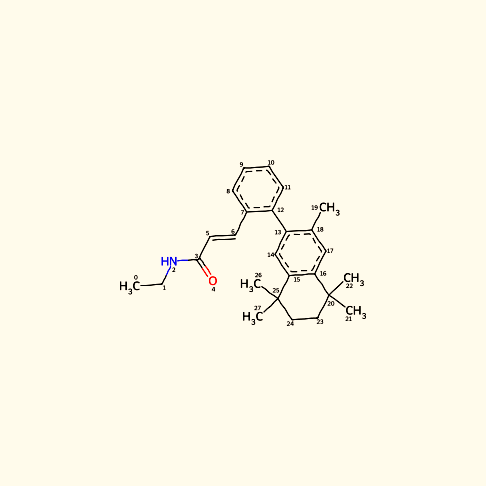 CCNC(=O)/C=C/c1ccccc1-c1cc2c(cc1C)C(C)(C)CCC2(C)C